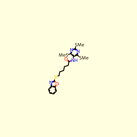 CSc1nc(SC)c(NC(=O)CCCCCSc2nc3ccccc3o2)c(SC)n1